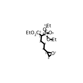 CCOC(=O)C(CCCC1CO1)P(=O)(OCC)OCC